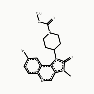 Cn1c(=O)n(C2CCN(C(=O)OC(C)(C)C)CC2)c2c3cc(Br)ccc3ncc21